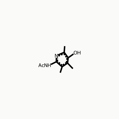 CC(=O)Nc1nc(C)c(O)c(C)c1C